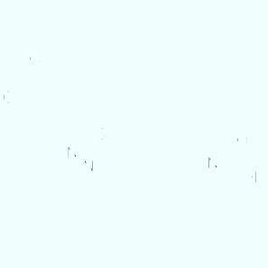 CC(C)CC1CN(C(=O)O)CCc2cc(-c3nnc(-c4ccc(OC(C)C)c(Cl)c4)s3)ccc21